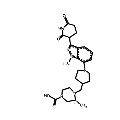 C[C@H]1CN(C(=O)O)CCN1CC1CCN(c2cccc3c(C4CCC(=O)NC4=O)nn(C)c23)CC1